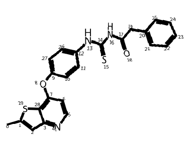 Cc1cc2nccc(Oc3ccc(NC(=S)NC(=O)Cc4ccccc4)cc3)c2s1